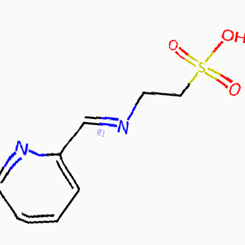 O=S(=O)(O)CC/N=C/c1ccccn1